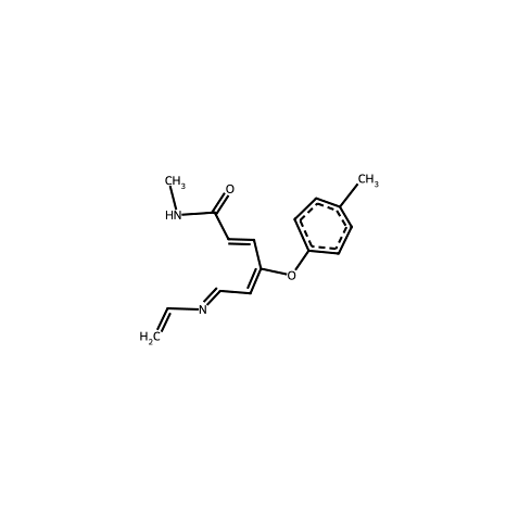 C=C/N=C/C=C(\C=C\C(=O)NC)Oc1ccc(C)cc1